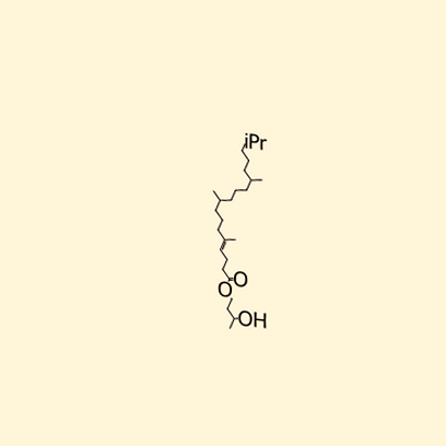 C/C(=C\CCC(=O)OCCC(C)O)CCCC(C)CCCC(C)CCCC(C)C